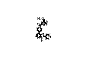 C/C=C(\CCC(=O)N1CCC(c2ccnc3[nH]c(C4CCOCC4)nc23)CC1)C(F)(F)F